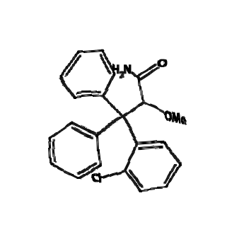 COC(C(N)=O)C(c1ccccc1)(c1ccccc1)c1ccccc1Cl